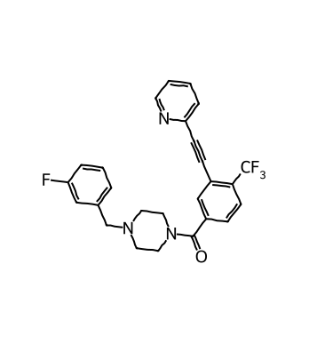 O=C(c1ccc(C(F)(F)F)c(C#Cc2ccccn2)c1)N1CCN(Cc2cccc(F)c2)CC1